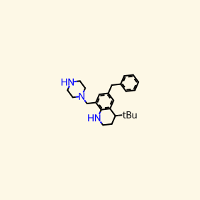 CC(C)(C)C1CCNc2c(CN3CCNCC3)cc(Cc3ccccc3)cc21